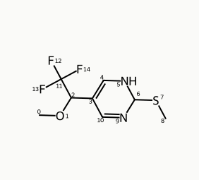 COC(C1=CNC(SC)N=C1)C(F)(F)F